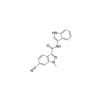 Cn1nc(C(=O)Nc2c[nH]c3ccccc23)c2ccc(C#N)cc21